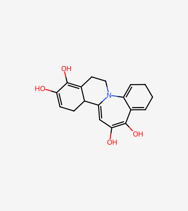 OC1=CCC2C3=CC(O)=C(O)C4=CCCC=C4N3CCC2=C1O